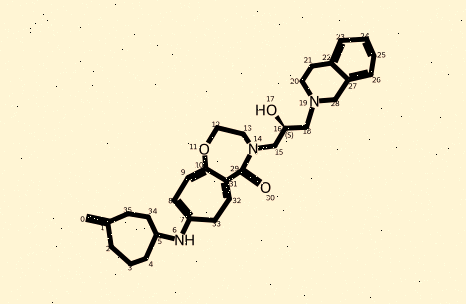 C=C1CCCC(NC2=CC=C3OCCN(C[C@@H](O)CN4CCc5ccccc5C4)C(=O)C3=CC2)CC1